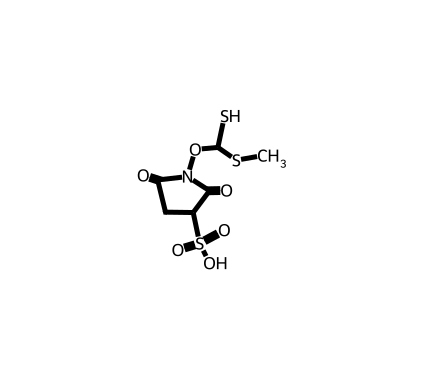 CSC(S)ON1C(=O)CC(S(=O)(=O)O)C1=O